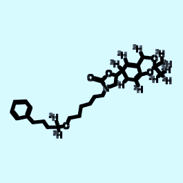 [2H]C1=C2OC(C([2H])[2H])(C([2H])([2H])[2H])OC([2H])C2=C([2H])C([2H])(C2CN(CCCCCCOC([2H])([2H])CCCc3ccccc3)C(=O)O2)C1[2H]